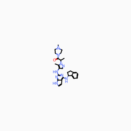 Cc1c(Nc2nc(N[C@H]3CCc4ccccc43)c3cc[nH]c3n2)cnn1C(C)C(=O)N1CCN(C)CC1